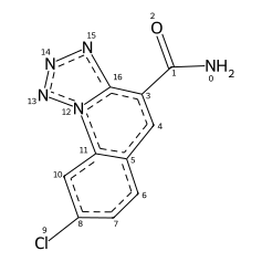 NC(=O)c1cc2ccc(Cl)cc2n2nnnc12